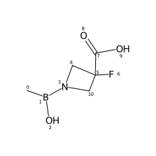 CB(O)N1CC(F)(C(=O)O)C1